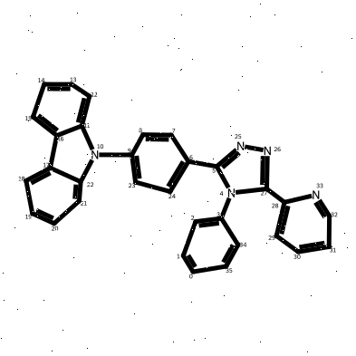 c1ccc(-n2c(-c3ccc(-n4c5ccccc5c5ccccc54)cc3)nnc2-c2ccccn2)cc1